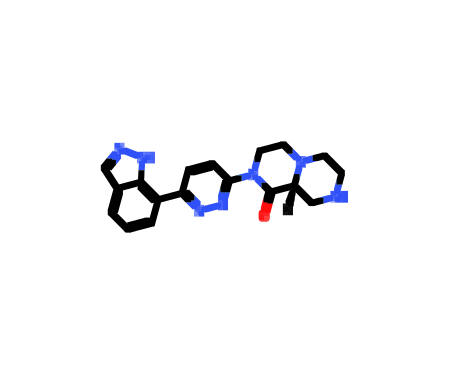 O=C1[C@H]2CNCCN2CCN1c1ccc(-c2cccc3cn[nH]c23)nn1